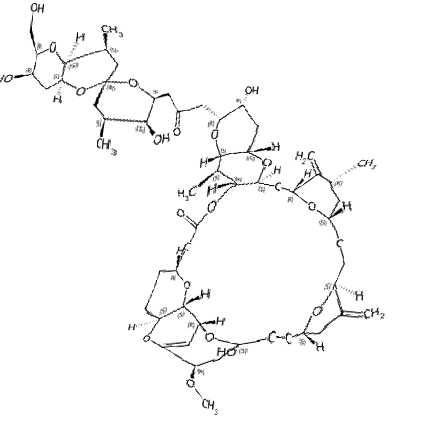 C=C1C[C@@H]2CC[C@@]3(O)C[C@@H](OC)C4=C[C@@H](O3)[C@H]3O[C@H](CC[C@@H]3O4)CC(=O)O[C@@H]3[C@@H](C)[C@@H]4O[C@H](CC(=O)C[C@@H]5O[C@@]6(C[C@H](C)[C@@H]5O)C[C@H](C)[C@@H]5O[C@H](CO)[C@H](O)C[C@@H]5O6)[C@H](O)C[C@@H]4O[C@H]3C[C@H]3O[C@@H](CC[C@@H]1O2)C[C@@H](C)C3=C